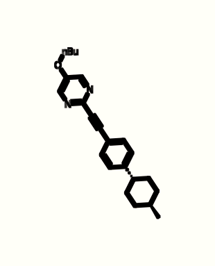 CCCCOc1cnc(C#Cc2ccc([C@H]3CC[C@H](C)CC3)cc2)nc1